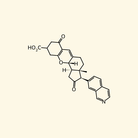 C[C@]12CCC3=CC4=C(CC(C(=O)O)CC4=O)O[C@H]3[C@@H]1CC(=O)[C@@H]2c1ccc2ccncc2c1